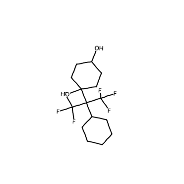 OC1CCC(O)(C(C2CCCCC2)(C(F)(F)F)C(F)(F)F)CC1